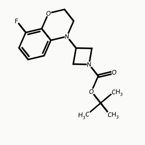 CC(C)(C)OC(=O)N1CC(N2CCOc3c(F)cccc32)C1